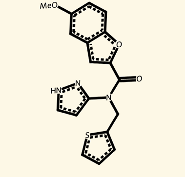 COc1ccc2oc(C(=O)N(Cc3cccs3)c3cc[nH]n3)cc2c1